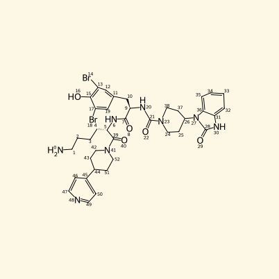 NCCCC[C@H](NC(=O)[C@@H](Cc1cc(Br)c(O)c(Br)c1)NC(=O)N1CCC(n2c(=O)[nH]c3ccccc32)CC1)C(=O)N1CCC(c2ccncc2)CC1